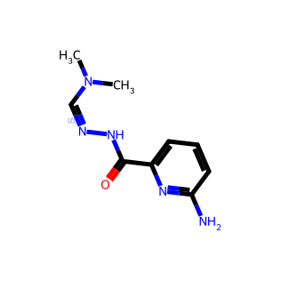 CN(C)/C=N\NC(=O)c1cccc(N)n1